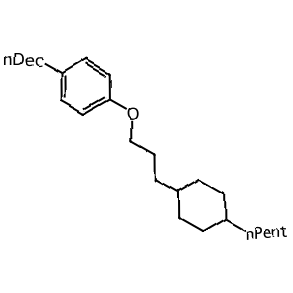 CCCCCCCCCCc1ccc(OCCCC2CCC(CCCCC)CC2)cc1